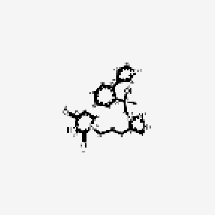 C[C@@](O)(Cn1nncc1CCCn1ccc(=O)[nH]c1=O)c1ccccc1-c1ccsc1